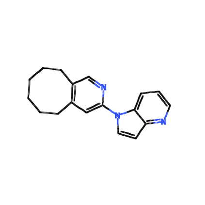 c1cnc2ccn(-c3cc4c(cn3)CCCCCC4)c2c1